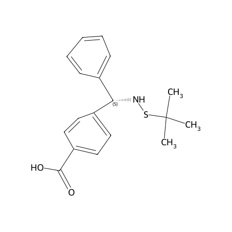 CC(C)(C)SN[C@@H](c1ccccc1)c1ccc(C(=O)O)cc1